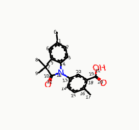 Cc1ccc2c(c1)C(C)(C)C(=O)N2c1ccc(C)c(C(=O)O)c1